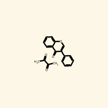 CC(=O)C(C)=O.O=c1c(-c2ccccc2)coc2ccccc12